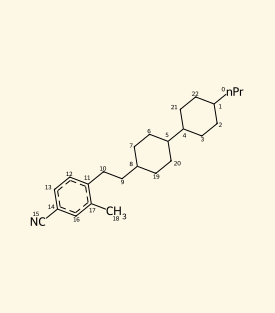 CCCC1CCC(C2CCC(CCc3ccc(C#N)cc3C)CC2)CC1